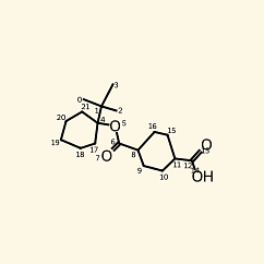 CC(C)(C)C1(OC(=O)C2CCC(C(=O)O)CC2)CCCCC1